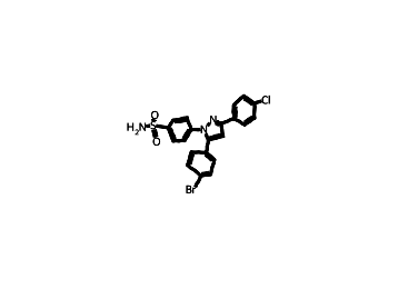 NS(=O)(=O)c1ccc(-n2nc(-c3ccc(Cl)cc3)cc2-c2ccc(Br)cc2)cc1